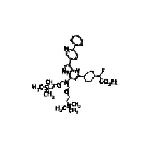 CCOC(=O)C(F)[C@H]1CC[C@@H](c2cc(N(COCC[Si](C)(C)C)COCC[Si](C)(C)C)n3ncc(-c4ccc(-c5ccccc5)nc4)c3n2)CC1